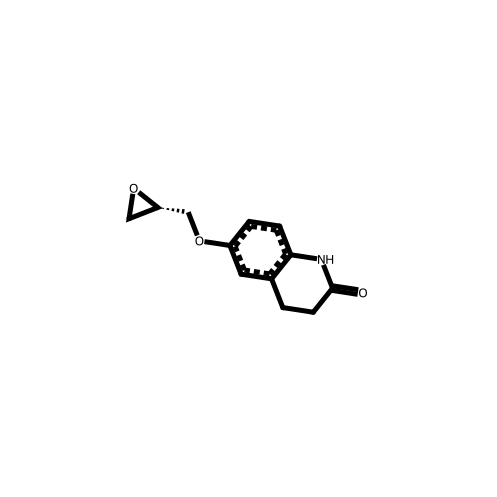 O=C1CCc2cc(OC[C@@H]3CO3)ccc2N1